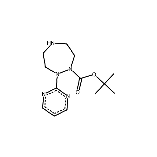 CC(C)(C)OC(=O)N1CCNCCN1c1ncccn1